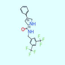 O=C(NCc1cc(C(F)(F)F)cc(C(F)(F)F)c1)[C@@H]1C[C@@H](c2ccccc2)CN1